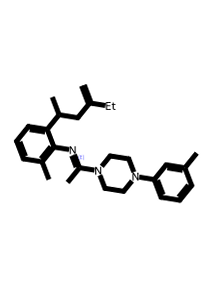 C=C(CC)CC(C)c1cccc(C)c1/N=C(\C)N1CCN(c2cccc(C)c2)CC1